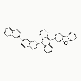 c1ccc2cc(-c3ccc4ccc(-c5c6ccccc6c(-c6ccc7c(c6)oc6ccccc67)c6ccccc56)cc4c3)ccc2c1